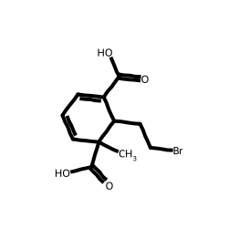 CC1(C(=O)O)C=CC=C(C(=O)O)C1CCBr